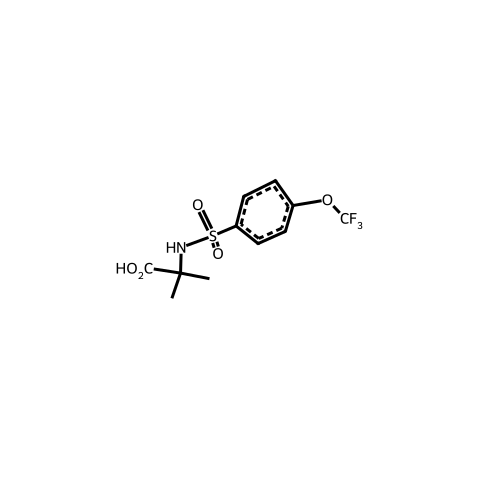 CC(C)(NS(=O)(=O)c1ccc(OC(F)(F)F)cc1)C(=O)O